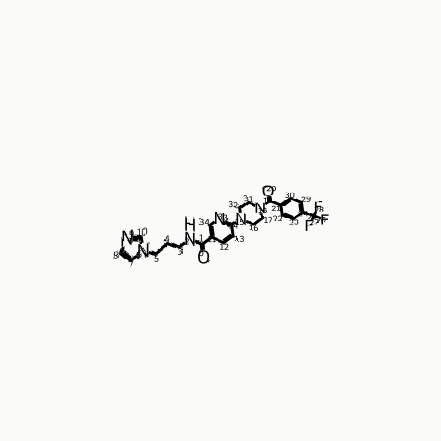 O=C(NCCCn1ccnc1)c1ccc(N2CCN(C(=O)c3ccc(C(F)(F)F)cc3)CC2)nc1